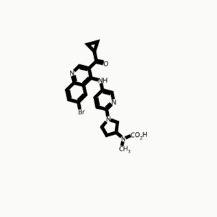 CN(C(=O)O)C1CCN(c2ccc(Nc3c(C(=O)C4CC4)cnc4ccc(Br)cc34)cn2)C1